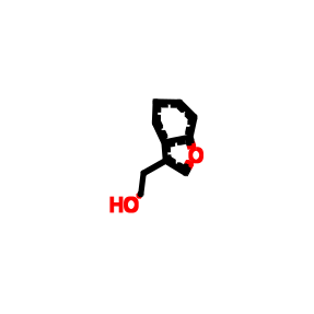 OCCc1coc2ccccc12